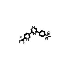 CS(=O)(=O)c1ccc(-c2cncc(-c3ccc(C(F)(F)F)nc3)n2)cc1